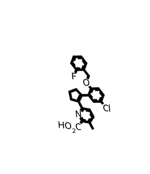 Cc1ccc(C2=C(c3cc(Cl)ccc3OCc3ccccc3F)CCC2)nc1C(=O)O